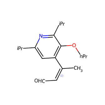 CCCOc1c(/C(C)=C\C=O)cc(C(C)C)nc1C(C)C